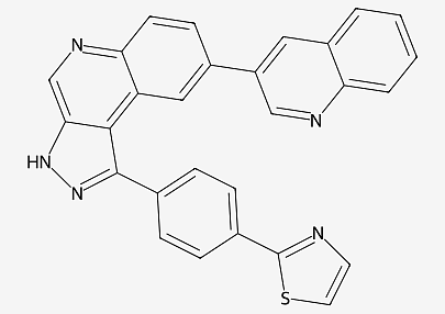 c1ccc2ncc(-c3ccc4ncc5[nH]nc(-c6ccc(-c7nccs7)cc6)c5c4c3)cc2c1